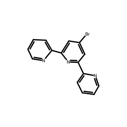 Brc1cc(-c2ccccn2)nc(-c2ccccn2)c1